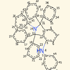 c1ccc(Nc2cccc3c2C(c2ccccc2)(c2ccccc2)N(c2ccccc2)C3(c2ccccc2)c2ccccc2)cc1